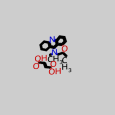 CCC1CN(CC)c2c3c(nc4cccc(c24)O1)CCCC3.O=C(O)/C=C/C(=O)O